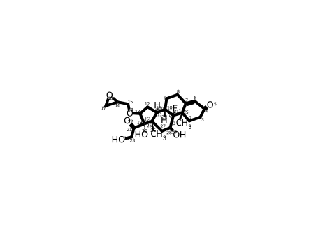 C[C@]12CCC(=O)C=C1CC[C@H]1[C@@H]3CC(OCC4CO4)[C@](O)(C(=O)CO)[C@@]3(C)CC(O)[C@@]12F